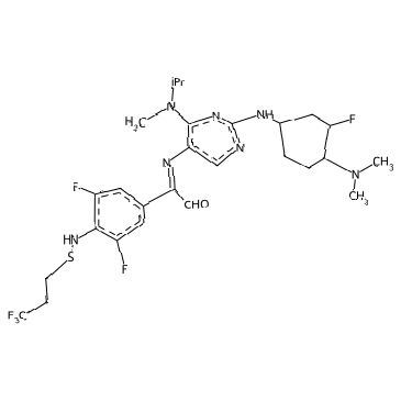 CC(C)N(C)c1nc(NC2CCC(N(C)C)C(F)C2)ncc1/N=C(\C=O)c1cc(F)c(NSCCC(F)(F)F)c(F)c1